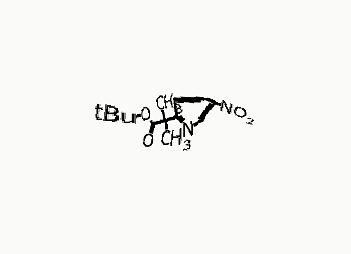 CC(C)(C)OC(=O)C(C)(C)c1ccc([N+](=O)[O-])cn1